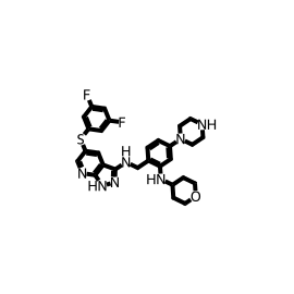 Fc1cc(F)cc(Sc2cnc3[nH]nc(NCc4ccc(N5CCNCC5)cc4NC4CCOCC4)c3c2)c1